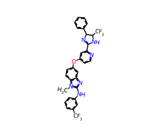 Cn1c(Nc2cccc(C(F)(F)F)c2)nc2cc(Oc3ccnc(C4=NC(c5ccccc5)C(C(F)(F)F)N4)c3)ccc21